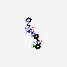 Cc1cccc(Cl)c1NC(=O)c1ccc2nc(NC(=O)NCCN3CCCCC3)sc2c1